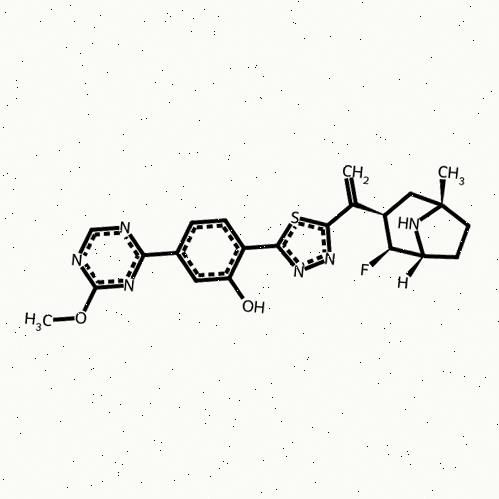 C=C(c1nnc(-c2ccc(-c3ncnc(OC)n3)cc2O)s1)[C@H]1C[C@]2(C)CC[C@@H](N2)[C@H]1F